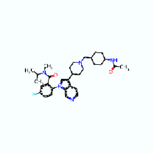 CC(=O)NC1CCC(CN2CCC(c3cn(-c4ccc(F)cc4C(=O)N(C)C(C)C)c4cnccc34)CC2)CC1